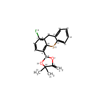 C=C1OB(c2ccc(F)c3c2Sc2ccccc2C3)OC1(C)C